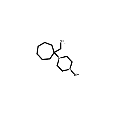 CCCN1CCN(C2(CN)CCCCCC2)CC1